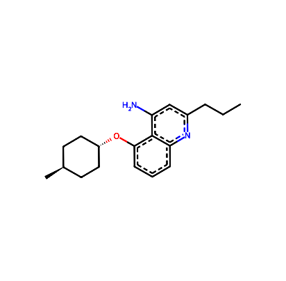 CCCc1cc(N)c2c(O[C@H]3CC[C@H](C)CC3)cccc2n1